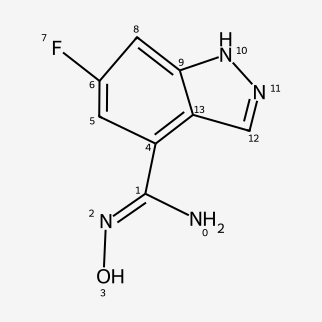 N/C(=N\O)c1cc(F)cc2[nH]ncc12